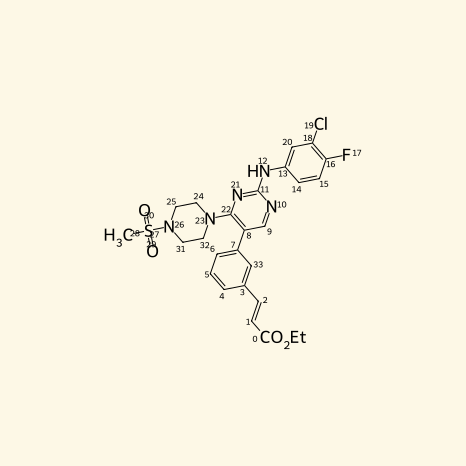 CCOC(=O)/C=C/c1cccc(-c2cnc(Nc3ccc(F)c(Cl)c3)nc2N2CCN(S(C)(=O)=O)CC2)c1